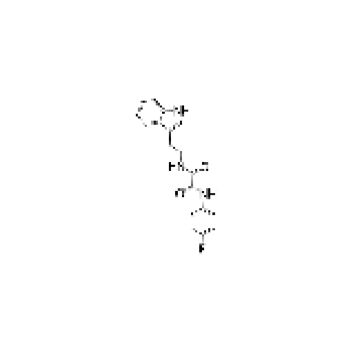 O=C(NCCc1c[nH]c2ccccc12)C(=O)Nc1ccc(F)cc1